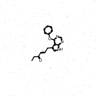 CCC(=O)/C=C/Cc1c[nH]c2ncnc(Oc3ccccc3)c12